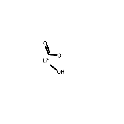 CO.O=C[O-].[Li+]